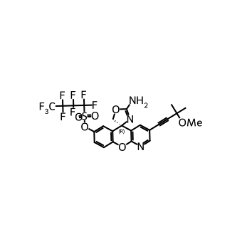 COC(C)(C)C#Cc1cnc2c(c1)[C@@]1(COC(N)=N1)c1cc(OS(=O)(=O)C(F)(F)C(F)(F)C(F)(F)C(F)(F)F)ccc1O2